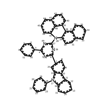 c1ccc(-c2nc(-c3ccc4c5ccccc5n(-c5ccccc5)c4c3)nc(N3c4ccc5ccccc5c4-c4cccc5cccc3c45)n2)cc1